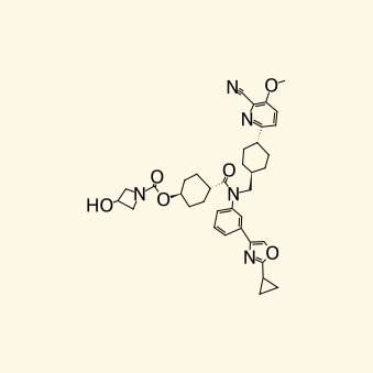 COc1ccc([C@H]2CC[C@H](CN(c3cccc(-c4coc(C5CC5)n4)c3)C(=O)[C@H]3CC[C@H](OC(=O)N4CC(O)C4)CC3)CC2)nc1C#N